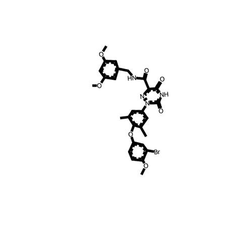 COc1cc(CNC(=O)c2nn(-c3cc(C)c(Oc4ccc(OC)c(Br)c4)c(C)c3)c(=O)[nH]c2=O)cc(OC)c1